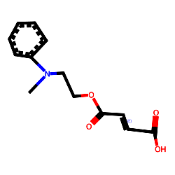 CN(CCOC(=O)/C=C/C(=O)O)c1ccccc1